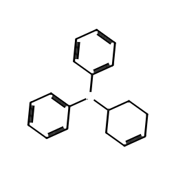 C1=CCC(P(c2ccccc2)c2ccccc2)CC1